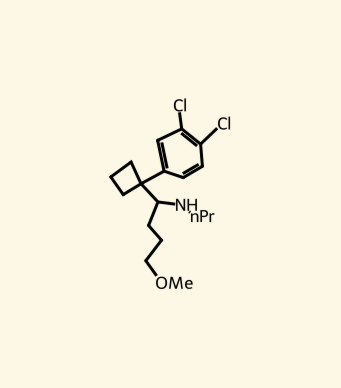 CCCNC(CCCOC)C1(c2ccc(Cl)c(Cl)c2)CCC1